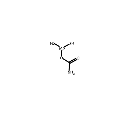 NC(=O)[O][Mo]([SH])[SH]